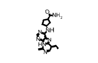 C=C(C)/N=C\C(=C/C)c1nc2c(N[C@H]3CCC(C(N)=O)C3)ncnc2[nH]1